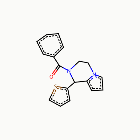 O=C(c1ccccc1)N1CCn2cccc2C1c1cccs1